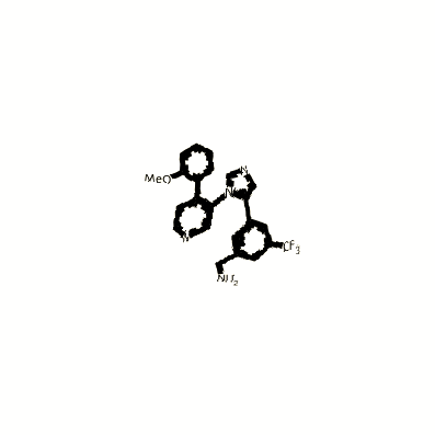 COc1ccccc1-c1ccncc1-n1cncc1-c1cc(CN)cc(C(F)(F)F)c1